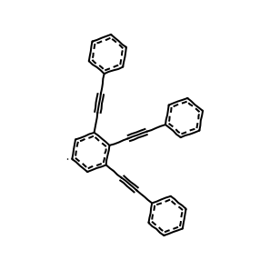 C(#Cc1c[c]cc(C#Cc2ccccc2)c1C#Cc1ccccc1)c1ccccc1